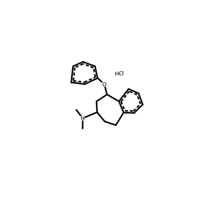 CN(C)C1CCc2ccccc2C(Oc2ccccc2)C1.Cl